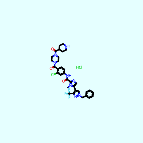 Cl.Cn1c(-c2cn(Cc3ccccc3)nc2C(F)(F)F)cnc1C(=O)Nc1ccc(C(=O)N2CCN(C(=O)C3CCNCC3)CC2)c(Cl)c1